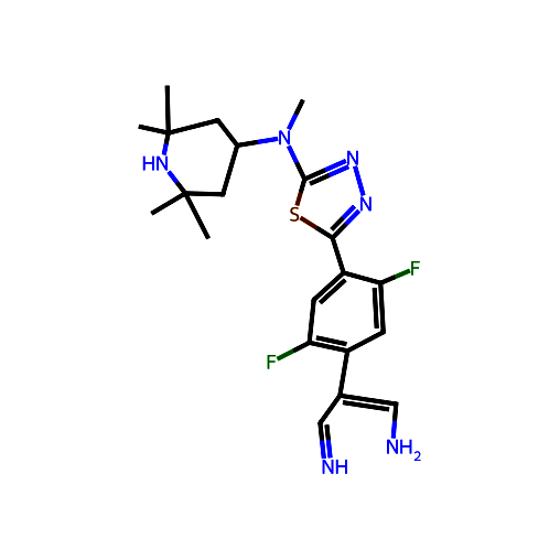 CN(c1nnc(-c2cc(F)c(/C(C=N)=C/N)cc2F)s1)C1CC(C)(C)NC(C)(C)C1